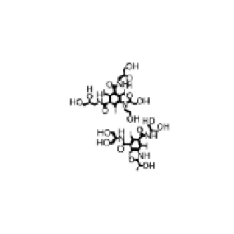 C[C@H](O)C(=O)Nc1c(I)c(C(=O)NC(CO)CO)c(I)c(C(=O)NC(CO)CO)c1I.O=C(NCC(O)CO)c1c(I)c(C(=O)NCC(O)CO)c(I)c(N(CCO)C(=O)CO)c1I